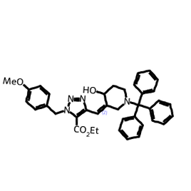 CCOC(=O)c1c(/C=C2/CN(C(c3ccccc3)(c3ccccc3)c3ccccc3)CCC2O)nnn1Cc1ccc(OC)cc1